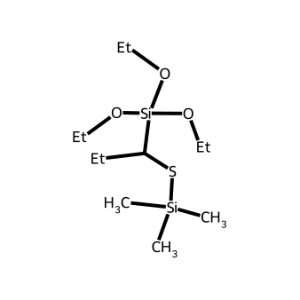 CCO[Si](OCC)(OCC)C(CC)S[Si](C)(C)C